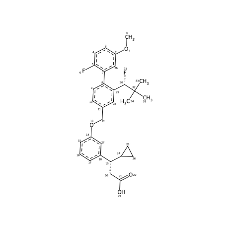 COc1ccc(F)c(-c2ccc(COc3cccc([C@@H](CC(=O)O)C4CC4)c3)cc2[C@H](F)C(C)(C)C)c1